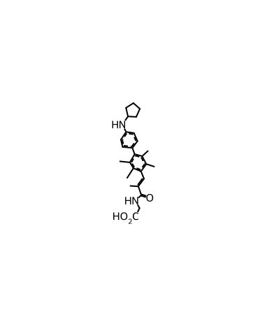 C/C(=C\c1c(C)c(C)c(-c2ccc(NC3CCCC3)cc2)c(C)c1C)C(=O)NCC(=O)O